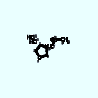 C1CCOC1.Cl.Cl.[CH3][Sn][CH3]